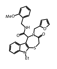 CCn1c2c(c3ccccc31)C(C(=O)NCc1ccccc1OC)N(Cc1ccco1)C(=O)CS2